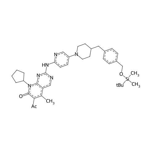 CC(=O)c1c(C)c2cnc(Nc3ccc(N4CCC(Cc5ccc(CO[Si](C)(C)C(C)(C)C)cc5)CC4)cn3)nc2n(C2CCCC2)c1=O